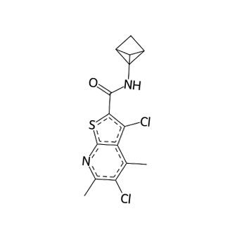 Cc1nc2sc(C(=O)NC3C4CC3C4)c(Cl)c2c(C)c1Cl